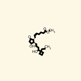 C=CCC1(C(O)C/C=C/[C@H]2[C@H](O)CC(=O)[C@@H]2C/C=C\CCCC(=O)OC)CCC1